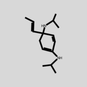 CC=CC1(NC(C)C)C=CC(NC(C)C)=CC1